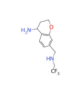 NC1CCOc2cc(CNCC(F)(F)F)ccc21